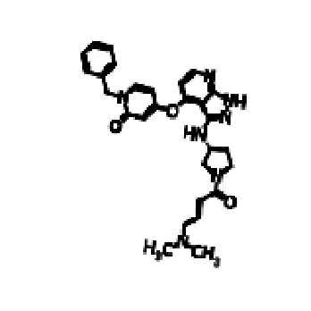 CN(C)CC=CC(=O)N1CC[C@@H](Nc2n[nH]c3nccc(Oc4ccn(Cc5ccccc5)c(=O)c4)c23)C1